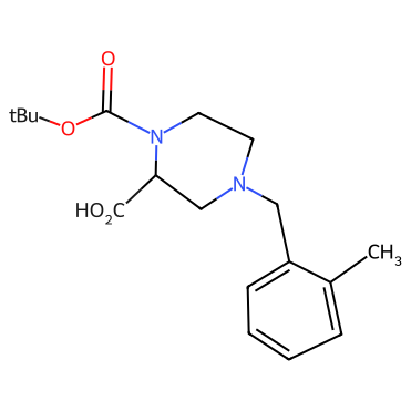 Cc1ccccc1CN1CCN(C(=O)OC(C)(C)C)C(C(=O)O)C1